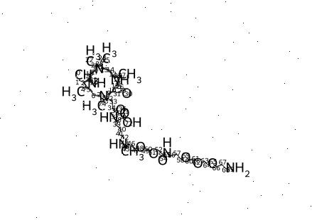 C=Cc1c(C)c2cc3nc(c4c5[nH]c(cc6nc(cc1[nH]2)C(C)=C6CC)c(C)c5C(=O)C4)C(CCC(=O)NC(CCCCNC(C)/C=C/OCCOCC(=O)NCCCOCCOCCOCCCN)C(=O)O)[C@@H]3C